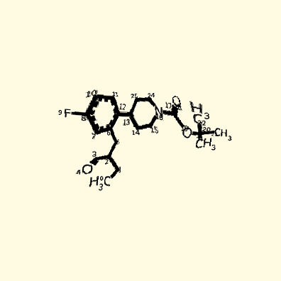 CCC(C=O)Cc1cc(F)ccc1C1CCN(C(=O)OC(C)(C)C)CC1